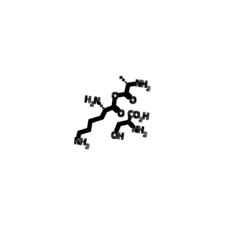 C[C@H](N)C(=O)OC(=O)[C@@H](N)CCCCN.N[C@@H](CO)C(=O)O